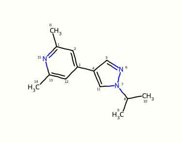 Cc1cc(-c2cnn(C(C)C)c2)cc(C)n1